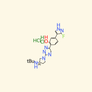 CC(C)(C)N[C@@H]1CCN(c2ncc(-c3ccc(-c4c[nH]nc4F)cc3O)nn2)C1.Cl.Cl